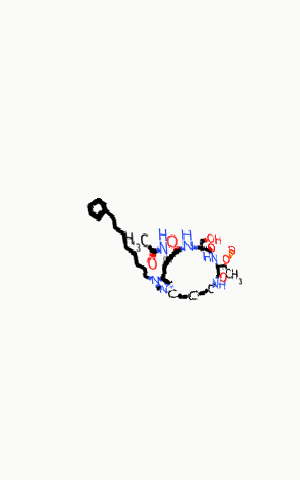 CC(=O)N[C@H]1Cc2c[n+](cn2CCCCCCCCc2ccccc2)CCCCCNC(=O)[C@H]([C@@H](C)OP=O)NC(=O)[C@H](CO)NC1=O